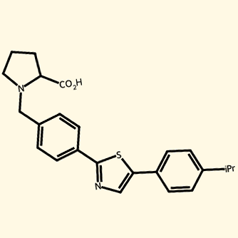 CC(C)c1ccc(-c2cnc(-c3ccc(CN4CCCC4C(=O)O)cc3)s2)cc1